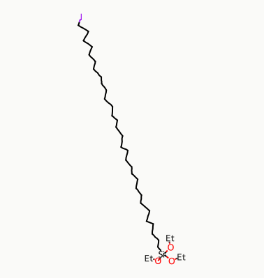 CCO[Si](CCCCCCCCCCCCCCCCCCCCCCCCCCCCCCCI)(OCC)OCC